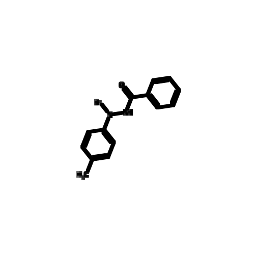 Cc1ccc(N(Br)NC(=O)c2ccccc2)cc1